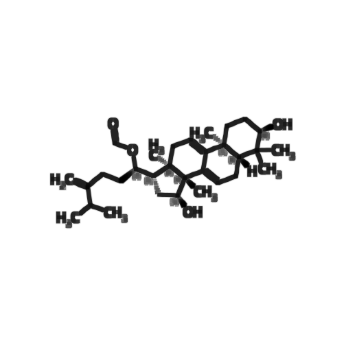 C=C(CC[C@@H](OC=O)[C@H]1C[C@H](O)[C@@]2(C)C3=CC[C@H]4C(C)(C)[C@H](O)CC[C@]4(C)C3=CC[C@]12C)C(C)C